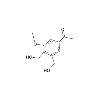 COc1cc(C(C)=O)cc(CO)c1CO